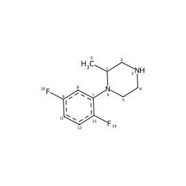 CC1CNCCN1c1cc(F)ccc1F